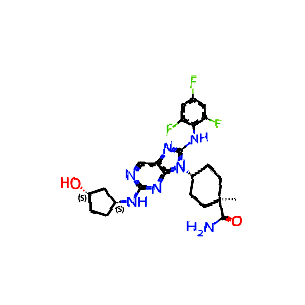 C[C@]1(C(N)=O)CC[C@H](n2c(Nc3c(F)cc(F)cc3F)nc3cnc(N[C@H]4CC[C@H](O)C4)nc32)CC1